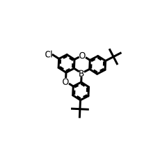 CC(C)(C)c1ccc2c(c1)Oc1cc(Cl)cc3c1B2c1ccc(C(C)(C)C)cc1O3